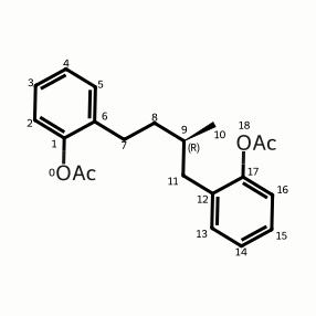 CC(=O)Oc1ccccc1CC[C@@H](C)Cc1ccccc1OC(C)=O